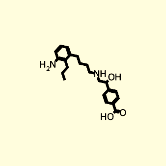 CCCc1c(N)cccc1CCCCNCC(O)c1ccc(C(=O)O)cc1